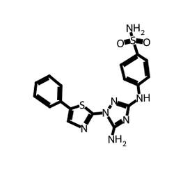 Nc1nc(Nc2ccc(S(N)(=O)=O)cc2)nn1-c1ncc(-c2ccccc2)s1